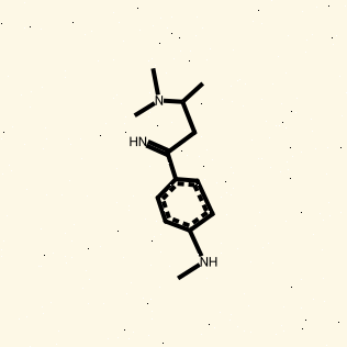 CNc1ccc(C(=N)CC(C)N(C)C)cc1